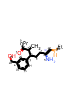 CCCC(=O)C(C)C(CC/C(N)=C/PCC)c1cccc(CO)c1